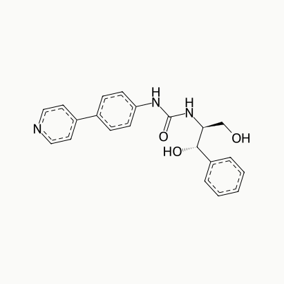 O=C(Nc1ccc(-c2ccncc2)cc1)N[C@@H](CO)[C@@H](O)c1ccccc1